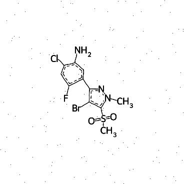 Cn1nc(-c2cc(N)c(Cl)cc2F)c(Br)c1S(C)(=O)=O